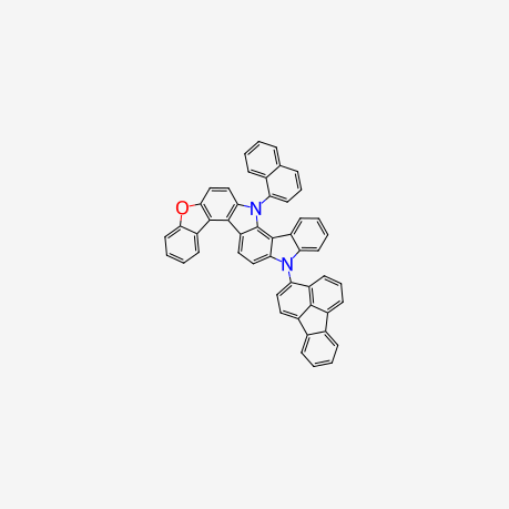 c1ccc2c(c1)-c1cccc3c(-n4c5ccccc5c5c4ccc4c6c7c(ccc6n(-c6cccc8ccccc68)c45)oc4ccccc47)ccc-2c13